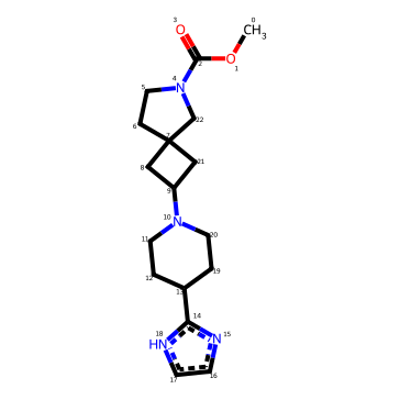 COC(=O)N1CCC2(CC(N3CCC(c4ncc[nH]4)CC3)C2)C1